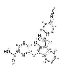 [C-]#[N+]c1ccc([C@@]2(C)C[C@]23C(=O)N(Cc2cccc(C(=O)O)c2)c2ccccc23)cc1